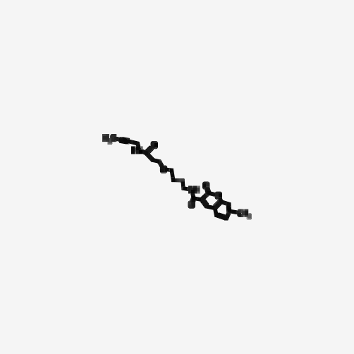 CC#CCNC(=O)CCOCCCCNC(=O)c1cc2ccc(C)cc2oc1=O